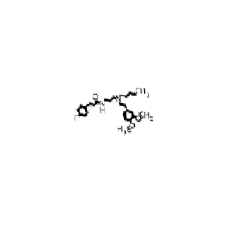 CCCCCN(CCCNC(=O)/C=C/c1ccc(F)cc1)CCc1ccc(OC)c(OC)c1